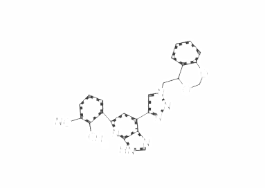 Cc1c(C#N)cccc1-c1cc(-c2cn(CC3OCOc4ccccc43)nn2)c2nc[nH]c2n1